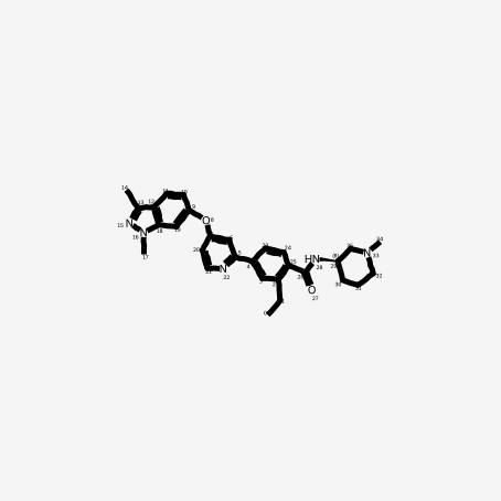 CCc1cc(-c2cc(Oc3ccc4c(C)nn(C)c4c3)ccn2)ccc1C(=O)N[C@@H]1CCCN(C)C1